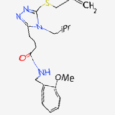 C=CCSc1nnc(CCC(=O)NCc2ccccc2OC)n1CC(C)C